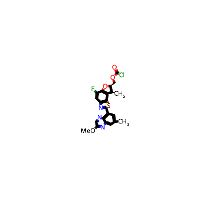 COc1cnc2c(-c3nc4cc(F)c5c(c4s3)[C@@H](C)[C@H](COC(=O)Cl)O5)cc(C)cc2n1